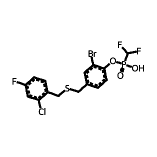 O=P(O)(Oc1ccc(CSCc2ccc(F)cc2Cl)cc1Br)C(F)F